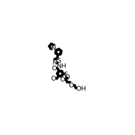 O=Cc1cc(C(=O)Nc2ncc(-c3cccc(N4CCCC4)c3)s2)cc(F)c1OC(=O)CCOCCO